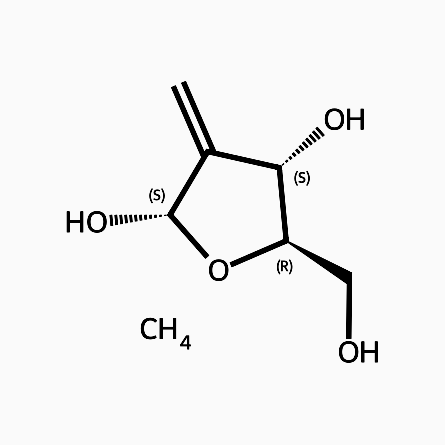 C.C=C1[C@@H](O)O[C@H](CO)[C@H]1O